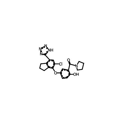 O=C(c1cc(Oc2c(Cl)cc(-c3nnn[nH]3)c3c2CCC3)ccc1O)N1CCCC1